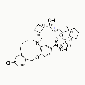 C[C@@]1(C/C=C/[C@H](O)[C@@H]2CC[C@H]2CN2CCCCc3cc(Cl)ccc3COc3ccc(C(=O)O)cc32)CCC[C@@H]1S(N)(=O)=O